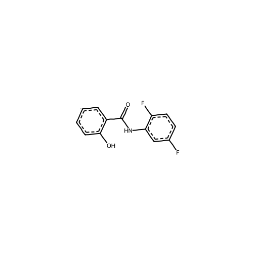 O=C(Nc1cc(F)ccc1F)c1c[c]ccc1O